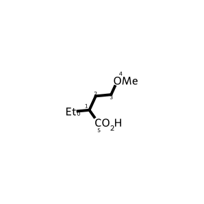 CCC(CCOC)C(=O)O